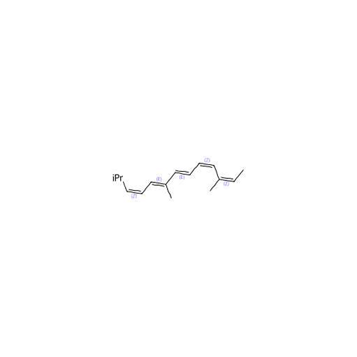 C\C=C(C)/C=C\C=C\C(C)=C\C=C/C(C)C